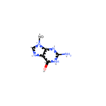 Nc1nc2c(ncn2N=O)c(=O)[nH]1